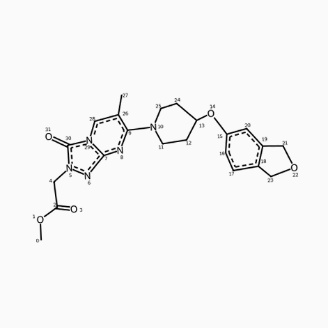 COC(=O)Cn1nc2nc(N3CCC(Oc4ccc5c(c4)COC5)CC3)c(C)cn2c1=O